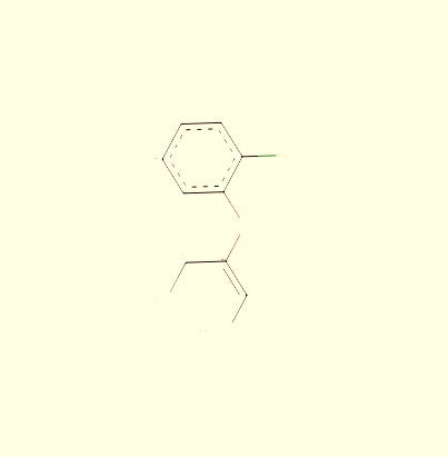 CCOC(=O)/C=C(\CBr)Oc1ccccc1Br